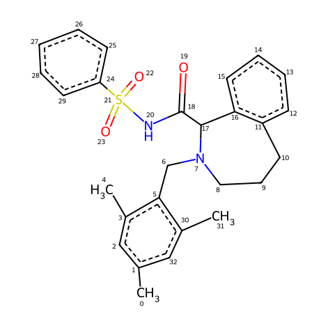 Cc1cc(C)c(CN2CCCc3ccccc3C2C(=O)NS(=O)(=O)c2ccccc2)c(C)c1